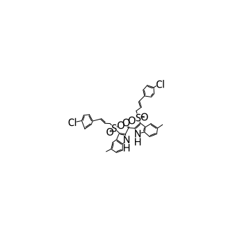 Cc1ccc2[nH]c(C(=O)c3[nH]c4ccc(C)cc4c3S(=O)(=O)CC=Cc3ccc(Cl)cc3)c(S(=O)(=O)CC=Cc3ccc(Cl)cc3)c2c1